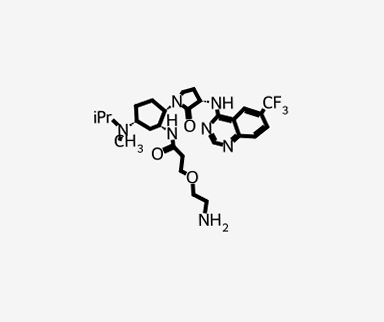 CC(C)N(C)[C@@H]1CC[C@H](N2CC[C@H](Nc3ncnc4ccc(C(F)(F)F)cc34)C2=O)[C@H](NC(=O)CCOCCN)C1